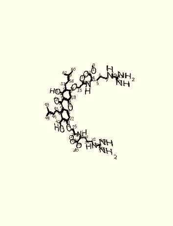 COC(=O)[C@H](CCCNC(=N)N)NC(=O)COc1cc2oc3cc(OCC(=O)N[C@@H](CCCNC(=N)N)C(=O)OC)c(CO)c(CC=C(C)C)c3c(=O)c2c(O)c1CC=C(C)C